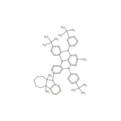 Cc1cc2c3c(c1)N(c1cccc(C(C)(C)C)c1)c1cc(C(C)(C)C)ccc1B3c1ccc(N3c4ccccc4C4(C)CCCCCC34C)cc1N2c1ccc(C(C)(C)C)cc1